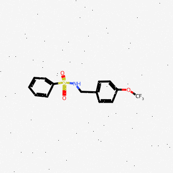 O=S(=O)(NCc1ccc(OC(F)(F)F)cc1)c1ccccc1